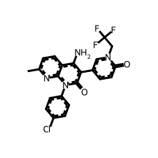 Cc1ccc2c(N)c(-c3ccc(=O)n(CC(F)(F)F)c3)c(=O)n(-c3ccc(Cl)cc3)c2n1